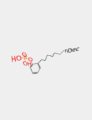 CCCCCCCCCCCCCCCCCc1ccccc1OP(=O)(O)O